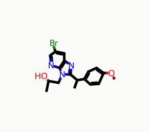 COc1ccc(C(C)c2nc3cc(Br)cnc3n2CC(C)O)cc1